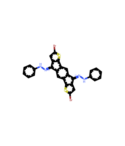 Brc1cc2/c(=N\Nc3ccccc3)c3cc4c(cc3c2s1)/c(=N/Nc1ccccc1)c1cc(Br)sc14